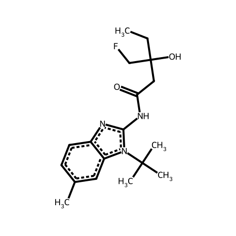 CCC(O)(CF)CC(=O)Nc1nc2ccc(C)cc2n1C(C)(C)C